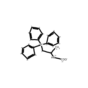 CC(C[P+](c1ccccc1)(c1ccccc1)c1ccccc1)NC(=O)[O-]